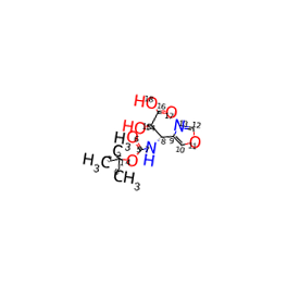 CC(C)(C)OC(=O)N[C@@H](c1cocn1)[C@@H](O)C(=O)O